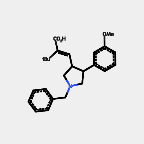 COc1cccc(C2CN(Cc3ccccc3)CC2/C=C(/C(=O)O)C(C)(C)C)c1